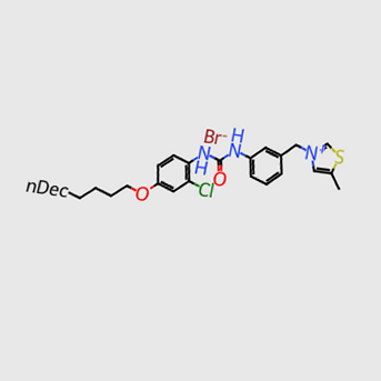 CCCCCCCCCCCCCCOc1ccc(NC(=O)Nc2cccc(C[n+]3csc(C)c3)c2)c(Cl)c1.[Br-]